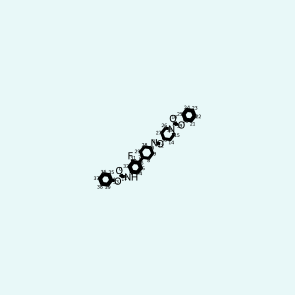 O=C(Nc1ccc(C2CCC(=NOC3CCN(C(=O)Oc4ccccc4)CC3)CC2)c(F)c1)Oc1ccccc1